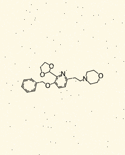 c1ccc(COc2ccc(CCN3CCOCC3)nc2C2OCCO2)cc1